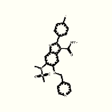 CNC(=O)c1c(-c2ccc(F)cc2)oc2cc(N(C)S(C)(=O)=O)c(OCc3ccncc3)cc12